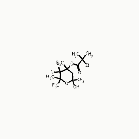 CCC(C)(C)C(=O)OC1(C(F)(F)F)CC(O)(C(F)(F)F)OC(C)(C(F)(F)F)C1(F)F